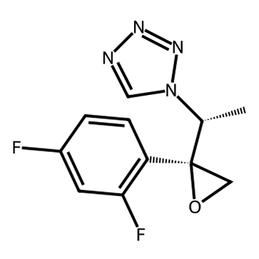 C[C@@H](n1cnnn1)[C@@]1(c2ccc(F)cc2F)CO1